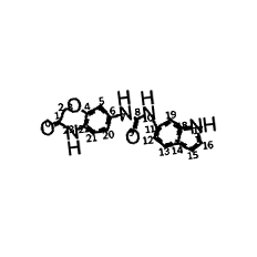 O=C1COc2cc(NC(=O)Nc3ccc4cc[nH]c4c3)ccc2N1